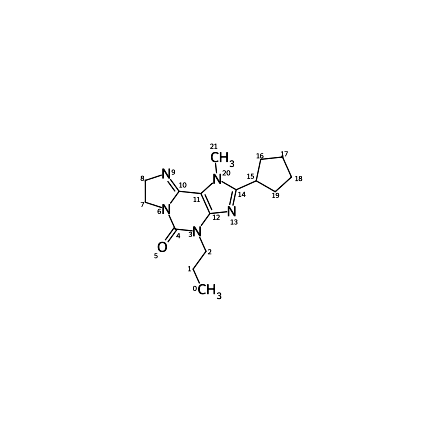 CCCN1C(=O)N2CCN=C2c2c1nc(C1CCCC1)n2C